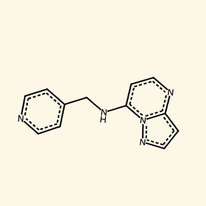 c1cc(CNc2ccnc3ccnn23)ccn1